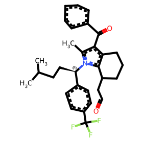 Cc1c(C(=O)c2ccccc2)c2c(n1[C@H](CCC(C)C)c1ccc(C(F)(F)F)cc1)C(CC=O)CCC2